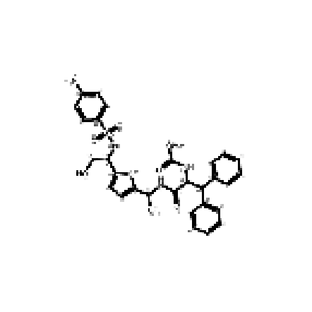 COC(=O)N[C@H](C(=O)N[C@H](c1ccc([C@@H](CO)NS(=O)(=O)c2ccc(N)cc2)s1)C(F)(F)F)C(c1ccccc1)c1ccccc1